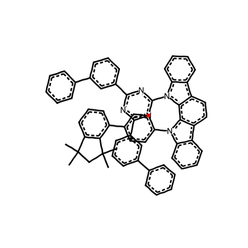 CC1(C)CC(C)(C)c2c(-c3ccc(-n4c5ccccc5c5ccc6c7ccccc7n(-c7nc(-c8cccc(-c9ccccc9)c8)nc(-c8cccc(-c9ccccc9)c8)n7)c6c54)cc3)cccc21